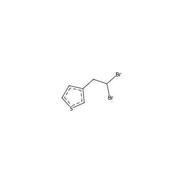 BrC(Br)Cc1ccsc1